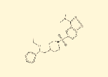 CCOC(CN1CCN(S(=O)(=O)c2ccc3ncnc(N(C)C)c3c2)CC1)c1ccccc1